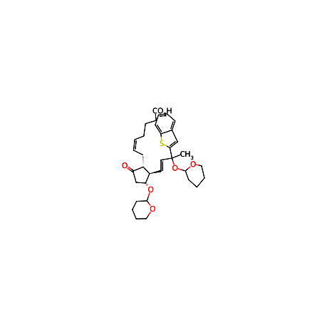 CC(/C=C/[C@H]1[C@H](OC2CCCCO2)CC(=O)[C@@H]1C/C=C\CCCC(=O)O)(OC1CCCCO1)c1cc2ccccc2s1